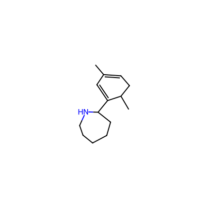 CC1=CCC(C)C(C2CCCCCN2)=C1